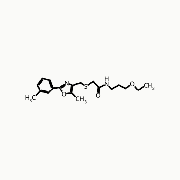 CCOCCCNC(=O)CSCc1nc(-c2cccc(C)c2)oc1C